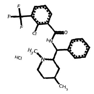 CC1CCN(C)C(C(NC(=O)c2cccc(C(F)(F)F)c2Cl)c2ccccc2)C1.Cl